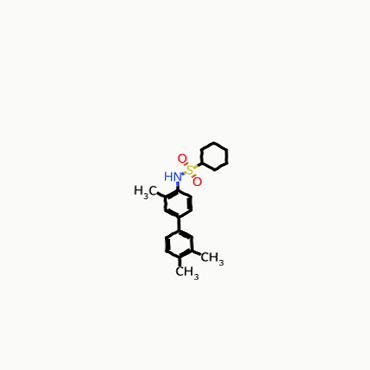 Cc1ccc(-c2ccc(NS(=O)(=O)C3CCCCC3)c(C)c2)cc1C